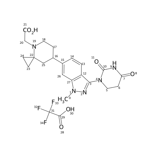 Cn1nc(N2CCC(=O)NC2=O)c2ccc(C3CCN(CC(=O)O)C4(CC4)C3)cc21.O=C(O)C(F)(F)F